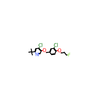 CC(C)(C)c1cc(Cl)c(OCc2ccc(OCCCF)c(Cl)c2)cn1